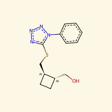 OC[C@@H]1CC[C@H]1CSc1nnnn1-c1ccccc1